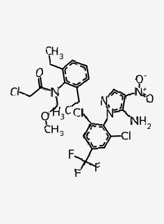 CCc1cccc(CC)c1N(COC)C(=O)CCl.Nc1c([N+](=O)[O-])cnn1-c1c(Cl)cc(C(F)(F)F)cc1Cl